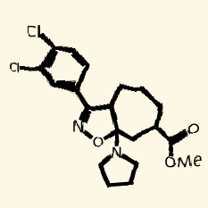 COC(=O)C1CCCC2C(c3ccc(Cl)c(Cl)c3)=NOC2(N2CCCC2)C1